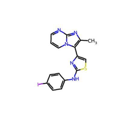 Cc1nc2ncccn2c1-c1csc(Nc2ccc(I)cc2)n1